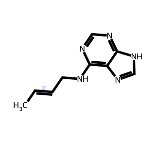 C/C=C/CNc1ncnc2[nH]cnc12